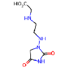 O=C(O)CNCCNN1CC(=O)NC1=O